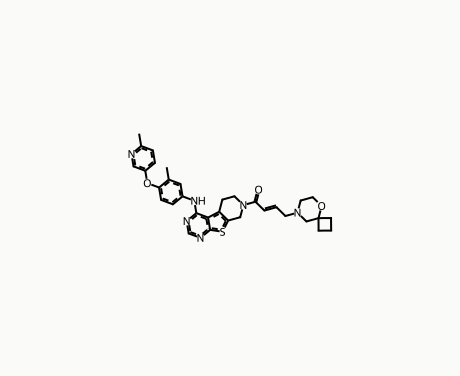 Cc1ccc(Oc2ccc(Nc3ncnc4sc5c(c34)CCN(C(=O)/C=C/CN3CCOC4(CCC4)C3)C5)cc2C)cn1